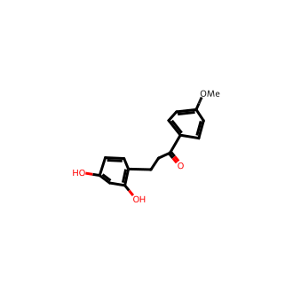 COc1ccc(C(=O)CCc2ccc(O)cc2O)cc1